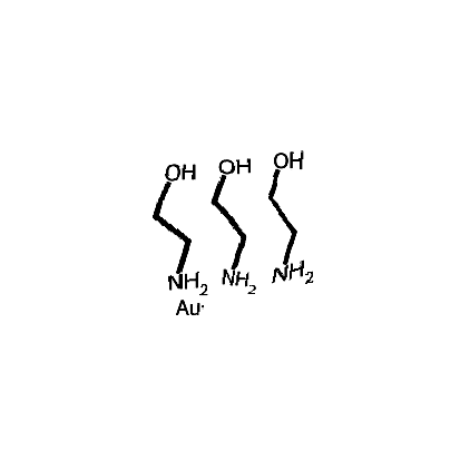 NCCO.NCCO.NCCO.[Au]